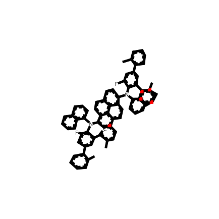 Cc1ccccc1-c1cc(F)c(N(c2cccc3ccccc23)c2ccc3ccc4c(N(c5c(F)cc(-c6ccccc6C)cc5-c5ccccc5C)c5cccc6ccccc56)ccc5ccc2c3c54)c(-c2ccccc2C)c1